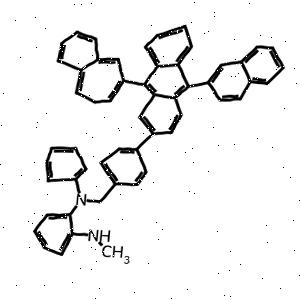 CNc1ccccc1N(Cc1ccc(-c2ccc3c(-c4ccc5ccccc5c4)c4ccccc4c(C4=CCC=c5ccccc5=C4)c3c2)cc1)c1ccccc1